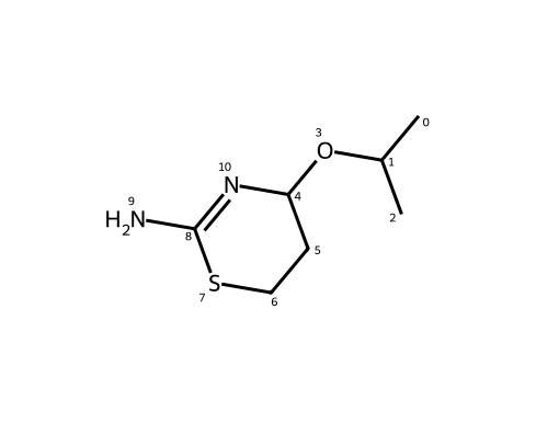 CC(C)OC1CCSC(N)=N1